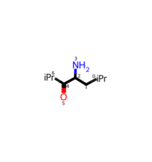 CC(C)CC(N)C(=O)C(C)C